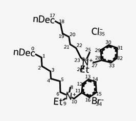 CCCCCCCCCCCCCCCC[N+](C)(CC)Cc1ccccc1.CCCCCCCCCCCCCCCC[N+](C)(CC)Cc1ccccc1.[Br-].[Cl-]